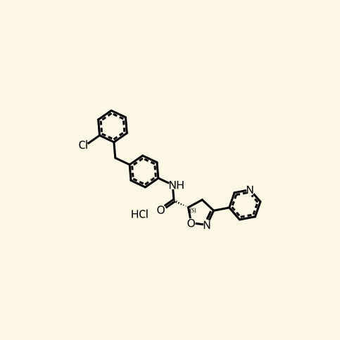 Cl.O=C(Nc1ccc(Cc2ccccc2Cl)cc1)[C@@H]1CC(c2cccnc2)=NO1